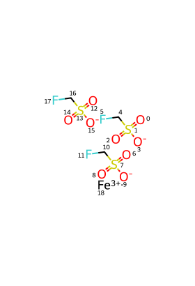 O=S(=O)([O-])CF.O=S(=O)([O-])CF.O=S(=O)([O-])CF.[Fe+3]